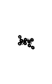 C1=Cc2c(oc3c(-n4c5ccccc5c5c(-c6cc(-c7cccc(-c8ccccc8)c7)nc(-c7ccccc7)n6)cccc54)cc(C4CC=CCC4)cc23)CC1